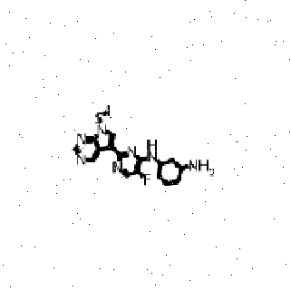 NC1CCCC(Nc2nc(-c3cn(SI)c4ncncc34)ncc2F)C1